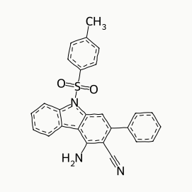 Cc1ccc(S(=O)(=O)n2c3ccccc3c3c(N)c(C#N)c(-c4ccccc4)cc32)cc1